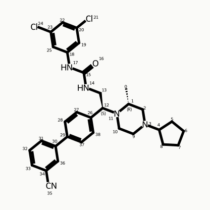 C[C@@H]1CN(C2CCCC2)CCN1[C@H](CNC(=O)Nc1cc(Cl)cc(Cl)c1)c1ccc(-c2cccc(C#N)c2)cc1